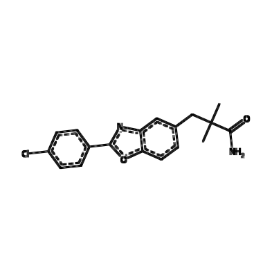 CC(C)(Cc1ccc2oc(-c3ccc(Cl)cc3)nc2c1)C(N)=O